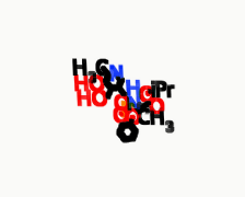 Cc1ncc(COP(=O)(N[C@@H](C)C(=O)OC(C)C)Oc2ccccc2)c(CO)c1O